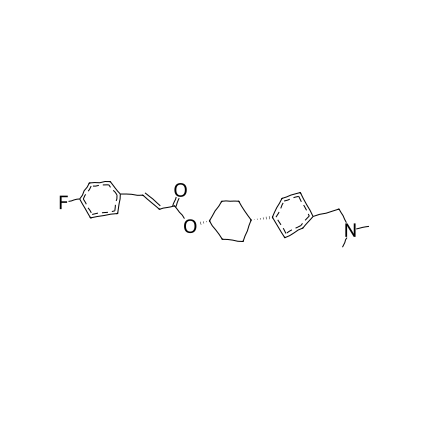 CN(C)Cc1ccc([C@H]2CC[C@@H](OC(=O)C=Cc3ccc(F)cc3)CC2)cc1